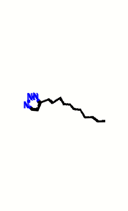 CCCCCCCCCCCc1ccnnn1